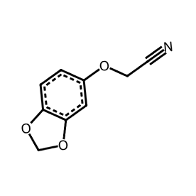 N#CCOc1ccc2c(c1)OCO2